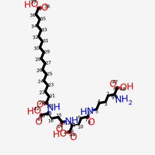 N[C@@H](CCCCNC(=O)CC[C@H](NC(=O)CC[C@H](NC(=O)CCCCCCCCCCCCCCCCC(=O)O)C(=O)O)C(=O)O)C(=O)O